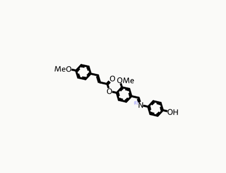 COc1ccc(C=CC(=O)Oc2ccc(/C=N/c3ccc(O)cc3)cc2OC)cc1